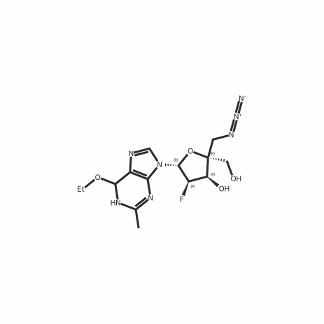 CCOC1NC(C)=Nc2c1ncn2[C@@H]1O[C@@](CO)(CN=[N+]=[N-])[C@@H](O)[C@H]1F